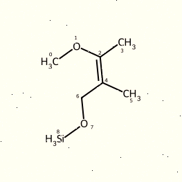 COC(C)=C(C)CO[SiH3]